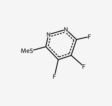 CSc1nnc(F)c(F)c1F